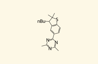 CCCCC1c2cc(-c3nc(C)nc(C)n3)ccc2SC1(C)C